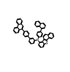 c1cc(-c2ccc(-c3cc4ccccc4c4ccccc34)cc2)cc(N(c2ccc(-c3cccc4ccccc34)cc2)c2cccc3sc4c5ccccc5ccc4c23)c1